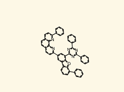 c1ccc(-c2ccc3ccc4ccc(-c5cc(-c6nc(-c7ccccc7)nc(-c7ccccc7)n6)c6oc7c(-c8ccccc8)cccc7c6c5)nc4c3n2)cc1